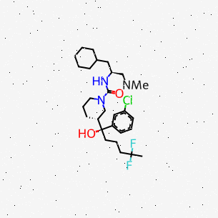 CNC[C@H](CC1CCCCC1)NC(=O)N1CCC[C@@H]([C@@](O)(CCCC(C)(F)F)c2cccc(Cl)c2)C1